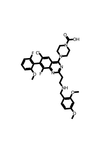 COc1ccc(CNCCc2nc(N3CCN(C(=O)O)CC3)c3cc(Cl)c(-c4c(F)cccc4OC)c(F)c3n2)c(OC)c1